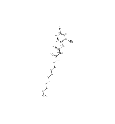 CCCCCCCCCCCC(=O)NC(=S)Nc1ccc(Cl)cc1C